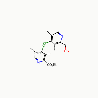 CCOC(=O)c1ncc(C)c(Cl)c1C.Cc1cnc(CO)c(C)c1Cl